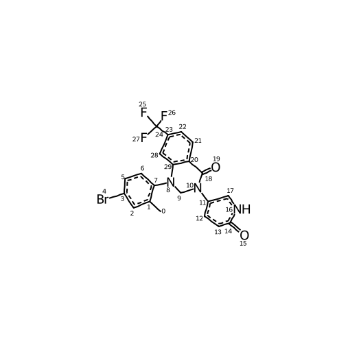 Cc1cc(Br)ccc1N1CN(c2ccc(=O)[nH]c2)C(=O)c2ccc(C(F)(F)F)cc21